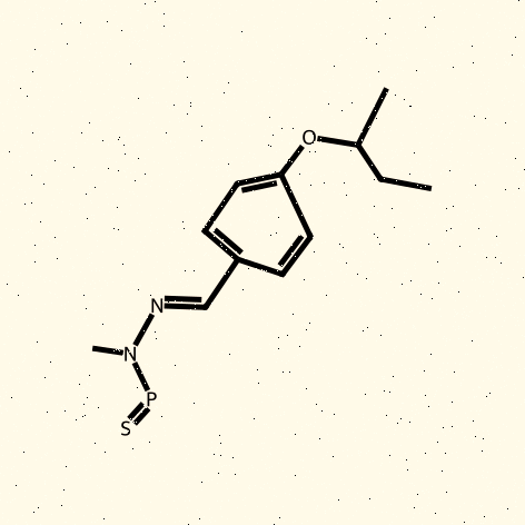 CCC(C)Oc1ccc(/C=N/N(C)P=S)cc1